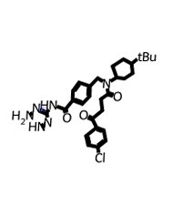 CC(C)(C)C1CCC(N(Cc2ccc(C(=O)N/C(N=N)=N/N)cc2)C(=O)CCC(=O)c2ccc(Cl)cc2)CC1